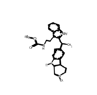 CCCCOC(=O)NCCc1c(C(C)c2ccc3c(c2)C2CCN(CC)CC2N3CC)[nH]c2ccccc12